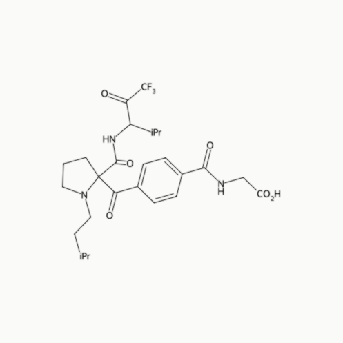 CC(C)CCN1CCCC1(C(=O)NC(C(=O)C(F)(F)F)C(C)C)C(=O)c1ccc(C(=O)NCC(=O)O)cc1